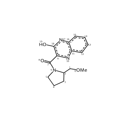 COCC1CCCN1C(=O)c1nc2ccccc2nc1O